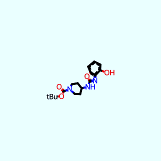 CC(C)(C)OC(=O)N1CCC(Nc2nc3c(O)cccc3o2)CC1